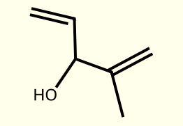 C=CC(O)C(=C)C